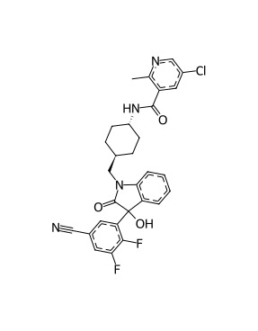 Cc1ncc(Cl)cc1C(=O)N[C@H]1CC[C@H](CN2C(=O)C(O)(c3cc(C#N)cc(F)c3F)c3ccccc32)CC1